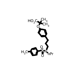 CCCN(CCCc1ccc(OC(C)(C)C(=O)O)cc1)S(=O)(=O)c1ccc(C)cc1